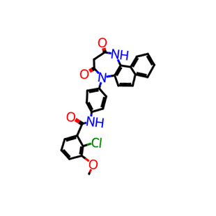 COc1cccc(C(=O)Nc2ccc(N3C(=O)CC(=O)Nc4c3ccc3ccccc43)cc2)c1Cl